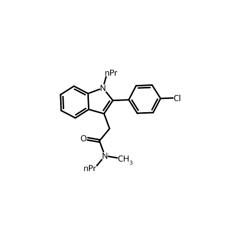 CCCN(C)C(=O)Cc1c(-c2ccc(Cl)cc2)n(CCC)c2ccccc12